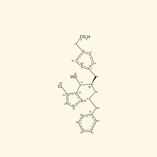 O=C(O)Cc1ccc(C[C@@H](CCCc2ccccc2)C(O)c2sccc2Cl)cc1